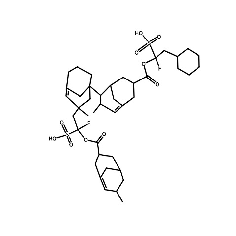 CC1C=C2CC(C1)CC(C(=O)OC(F)(CC1(C)C=C3CCCC(C4C(C)C=C5CC(C(=O)OC(F)(CC6CCCCC6)S(=O)(=O)O)CC4C5)(C3)C1)S(=O)(=O)O)C2